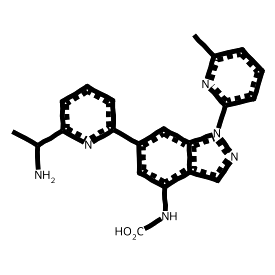 Cc1cccc(-n2ncc3c(NC(=O)O)cc(-c4cccc(C(C)N)n4)cc32)n1